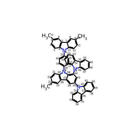 Cc1ccc2c(c1)c1cc(C)ccc1n2-c1ccc(-n2c3ccc(C)cc3c3cc(-n4c5ccccc5c5ccccc54)cc(-n4c5ccccc5c5ccccc54)c32)cc1